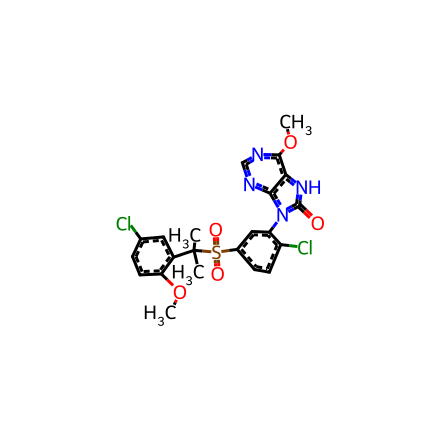 COc1ccc(Cl)cc1C(C)(C)S(=O)(=O)c1ccc(Cl)c(-n2c(=O)[nH]c3c(OC)ncnc32)c1